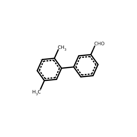 Cc1c[c]c(C)c(-c2cccc(C=O)c2)c1